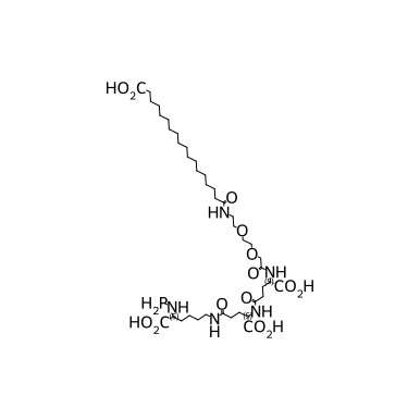 O=C(O)CCCCCCCCCCCCCCCCC(=O)NCCOCCOCC(=O)N[C@@H](CCC(=O)N[C@@H](CCC(=O)NCCCC[C@H](NP)C(=O)O)C(=O)O)C(=O)O